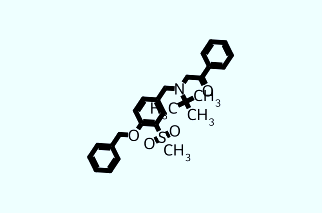 CC(C)(C)N(CC(=O)c1ccccc1)Cc1ccc(OCc2ccccc2)c(S(C)(=O)=O)c1